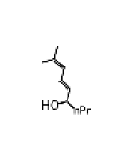 CCCC(O)C=CC=C(C)C